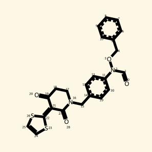 O=CN(OCc1ccccc1)c1ccc(CN2CCC(=O)C(=C3SC=CS3)C2=O)cc1